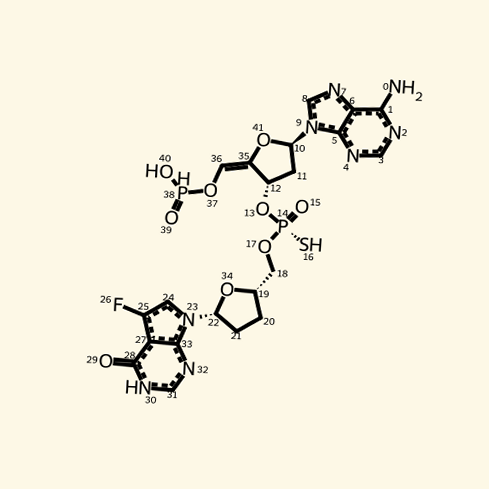 Nc1ncnc2c1ncn2[C@H]1C[C@H](O[P@](=O)(S)OC[C@@H]2CC[C@H](n3cc(F)c4c(=O)[nH]cnc43)O2)/C(=C\O[PH](=O)O)O1